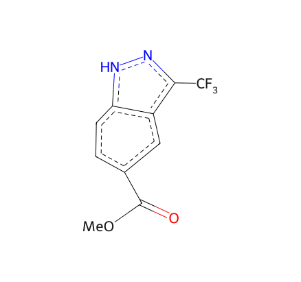 COC(=O)c1ccc2[nH]nc(C(F)(F)F)c2c1